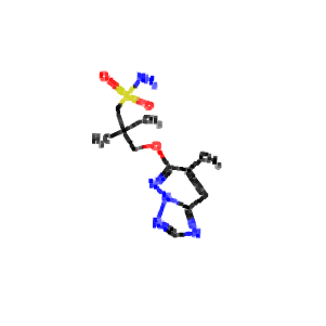 Cc1cc2ncnn2nc1OCC(C)(C)CS(N)(=O)=O